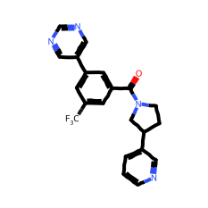 O=C(c1cc(-c2cncnc2)cc(C(F)(F)F)c1)N1CCC(c2cccnc2)C1